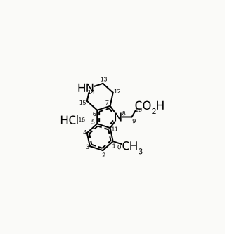 Cc1cccc2c3c(n(CC(=O)O)c12)CCNC3.Cl